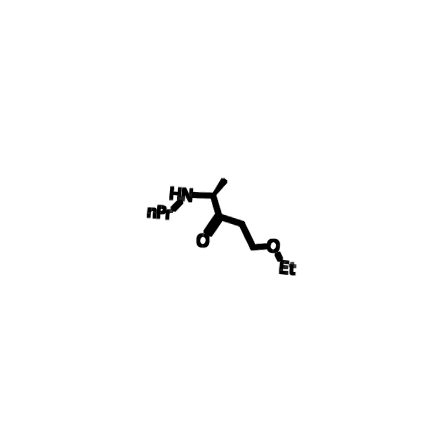 CCCN[C@@H](C)C(=O)CCOCC